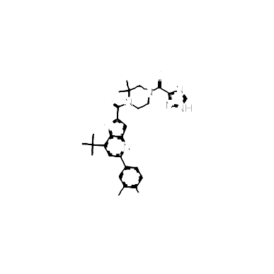 Cc1cc(-c2cc(C(C)(C)C)c3oc(C(=O)N4CCN(C(=O)c5nc[nH]n5)CC4(C)C)cc3n2)ccc1F